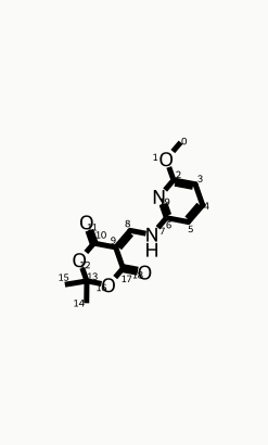 COc1cccc(NC=C2C(=O)OC(C)(C)OC2=O)n1